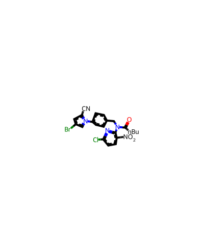 CCCCC(=O)N(Cc1ccc(-n2cc(Br)cc2C#N)cc1)c1nc(Cl)ccc1[N+](=O)[O-]